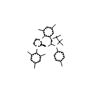 CCC1(C)OC(N=c2n(-c3c(C)cc(C)cc3C)ccn2-c2c(C)cc(C)cc2C)N(c2ccc(C)cc2)C1(C)CC